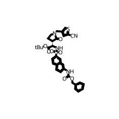 CC(C)(C)OC(=O)C(NS(=O)(=O)c1ccc2ccc(NC(=O)OCc3ccccc3)cc2c1)[C@@H]1CCN(Cc2csc(C#N)c2)C1=O